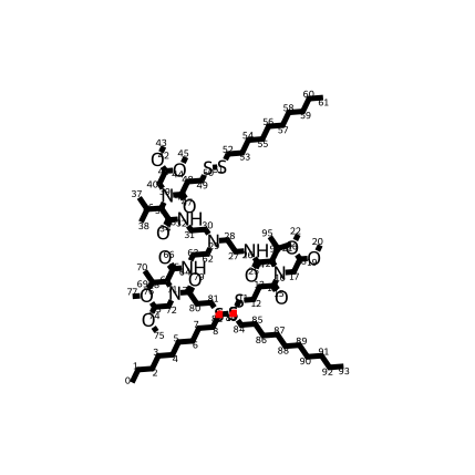 CCCCCCCCCCSSCCC(=O)N(CC(OC)OC)C(C(=O)NCCN(CCNC(=O)C(C(C)C)N(CC(OC)OC)C(=O)CCSSCCCCCCCCCC)CCNC(=O)C(C(C)C)N(CC(OC)OC)C(=O)CCSSCCCCCCCCCC)C(C)C